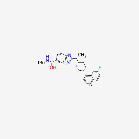 C[C@@H](c1nc2ccc(C(O)NC(C)(C)C)cc2[nH]1)[C@H]1CC[C@@H](c2ccnc3ccc(F)cc32)CC1